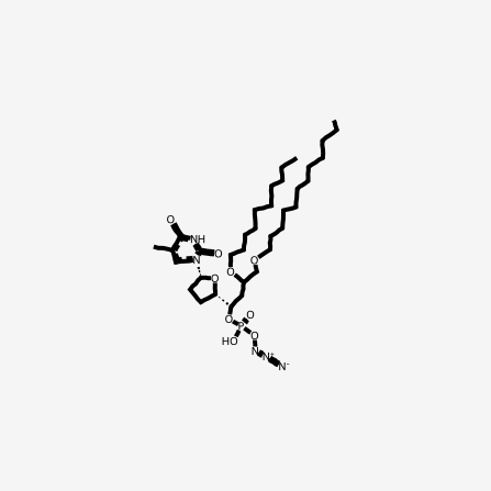 CCCCCCCCCCCCOCC(CC(OP(=O)(O)ON=[N+]=[N-])[C@@H]1CC[C@H](n2cc(C)c(=O)[nH]c2=O)O1)OCCCCCCCCCC